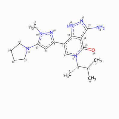 CC(C)[C@H](C)n1cc(-c2cc(N3CCCC3)n(C)n2)c2[nH]nc(N)c2c1=O